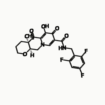 C[C@@]12CCCO[C@@H]1Cn1cc(C(=O)NCc3c(F)cc(F)cc3F)c(=O)c(O)c1C2=O